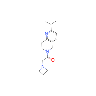 CC(C)c1ccc2c(n1)CCN(C(=O)CN1CCC1)C2